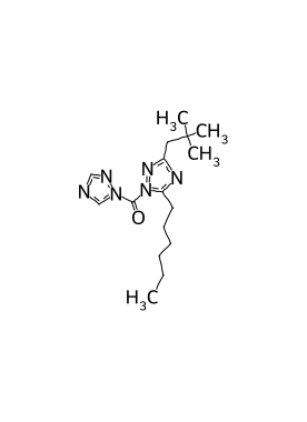 CCCCCCc1nc(CC(C)(C)C)nn1C(=O)n1cncn1